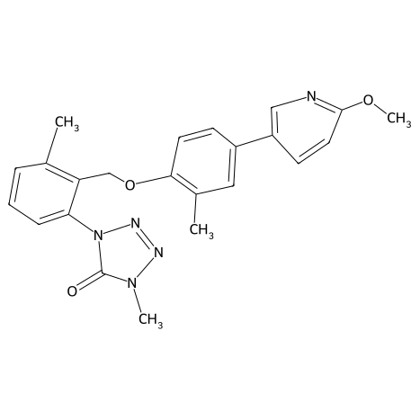 COc1ccc(-c2ccc(OCc3c(C)cccc3-n3nnn(C)c3=O)c(C)c2)cn1